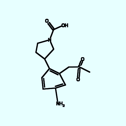 CS(=O)(=O)Cc1cc(N)ccc1C1CCN(C(=O)O)C1